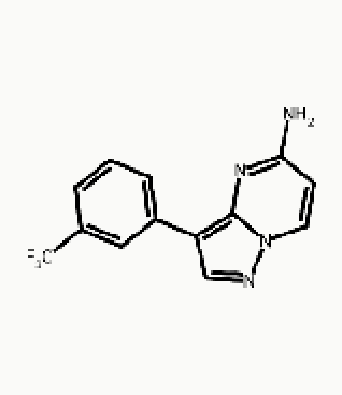 Nc1ccn2ncc(-c3cccc(C(F)(F)F)c3)c2n1